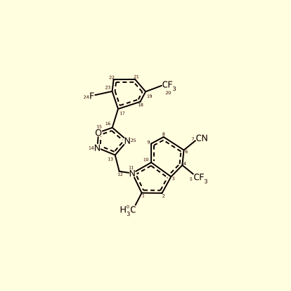 Cc1cc2c(C(F)(F)F)c(C#N)ccc2n1Cc1noc(-c2cc(C(F)(F)F)ccc2F)n1